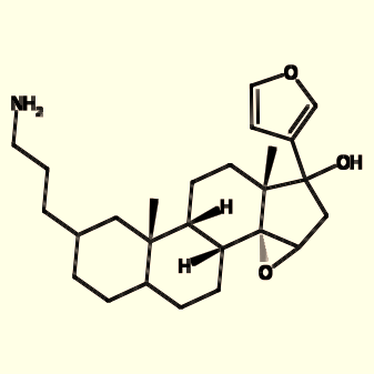 C[C@]12CC(CCCN)CCC1CC[C@@H]1[C@H]2CC[C@]2(C)C(O)(c3ccoc3)CC3O[C@]312